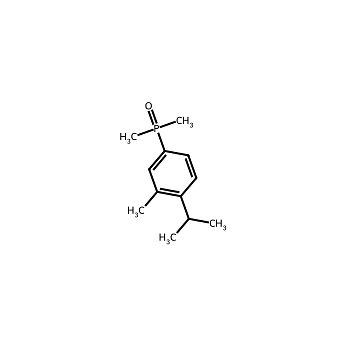 Cc1cc(P(C)(C)=O)ccc1C(C)C